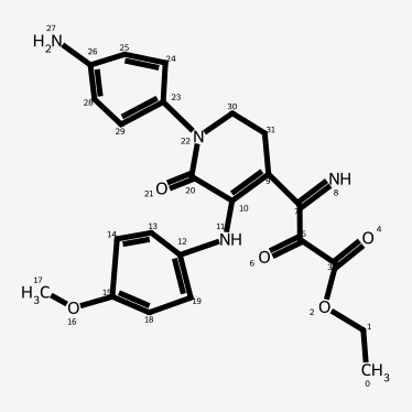 CCOC(=O)C(=O)C(=N)C1=C(Nc2ccc(OC)cc2)C(=O)N(c2ccc(N)cc2)CC1